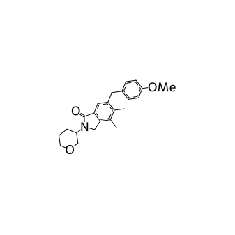 COc1ccc(Cc2cc3c(c(C)c2C)CN(C2CCCOC2)C3=O)cc1